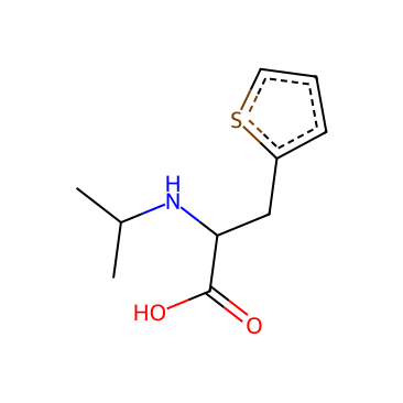 CC(C)NC(Cc1cccs1)C(=O)O